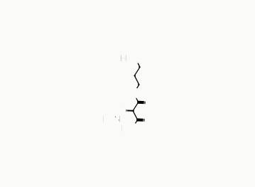 CCCCOC(=O)C(ON)C(=O)O